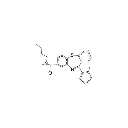 CCCCN(C)C(=O)c1ccc2c(c1)N=C(c1ccccc1C)c1ccccc1S2